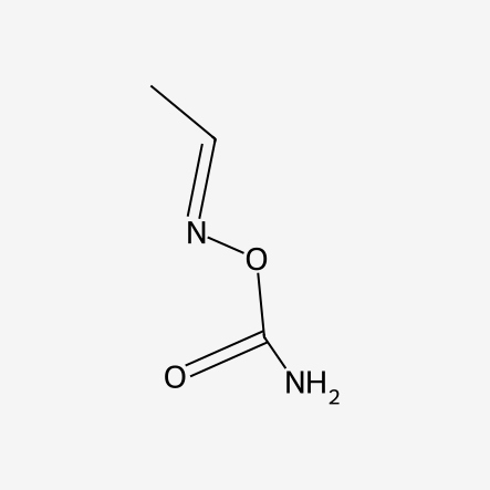 CC=NOC(N)=O